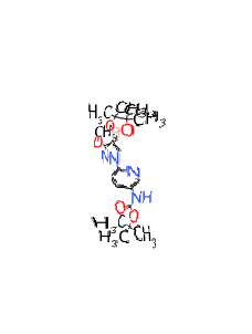 COc1nn(-c2ccc(NC(=O)OC(C)(C)C)cn2)cc1B1OC(C)(C)C(C)(C)O1